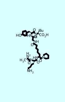 CC[C@H](C)[C@H](NC(=O)[C@H](Cc1ccc(O)cc1)NC(=O)CNC(=O)CCCCCC(NC(=O)[C@H](CCCCN)NC(=O)[C@H](C)N)C(=O)N1CCCCC1)C(=O)O